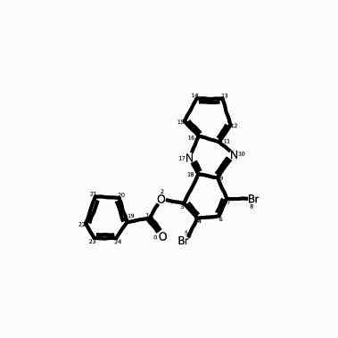 O=C(Oc1c(Br)cc(Br)c2nc3ccccc3nc12)c1ccccc1